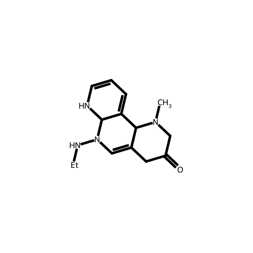 CCNN1C=C2CC(=O)CN(C)C2C2=CC=CNC21